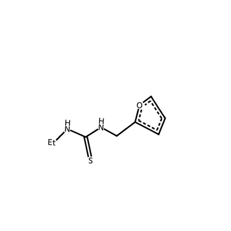 CCNC(=S)NCc1ccco1